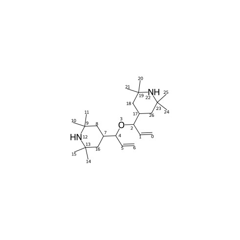 C=CC(OC(C=C)C1CC(C)(C)NC(C)(C)C1)C1CC(C)(C)NC(C)(C)C1